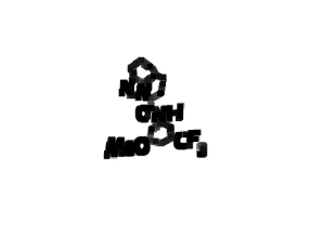 COc1cc(NC(=O)C2CCc3cccc4ncn2c34)cc(C(F)(F)F)c1